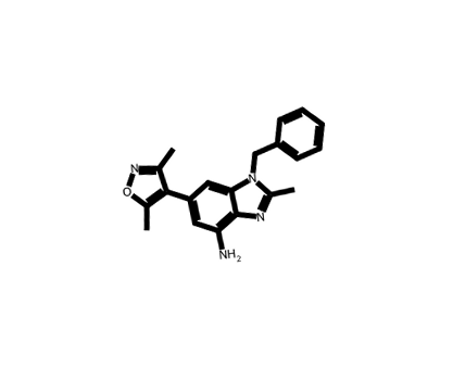 Cc1noc(C)c1-c1cc(N)c2nc(C)n(Cc3ccccc3)c2c1